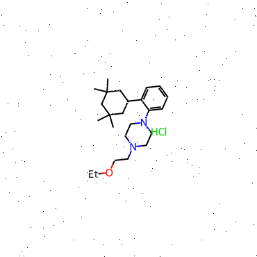 CCOCCN1CCN(c2ccccc2C2CC(C)(C)CC(C)(C)C2)CC1.Cl